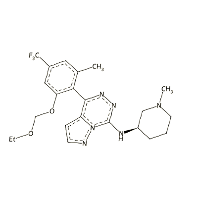 CCOCOc1cc(C(F)(F)F)cc(C)c1-c1nnc(N[C@@H]2CCCN(C)C2)n2nccc12